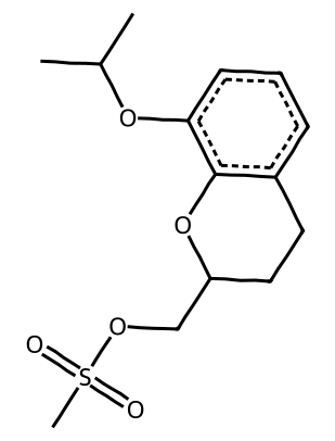 CC(C)Oc1cccc2c1OC(COS(C)(=O)=O)CC2